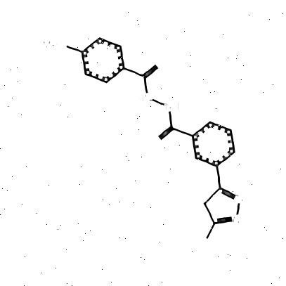 CCC1=NN=C(c2cccc(C(=O)NNC(=O)c3ccc(OC)cc3)c2)C1